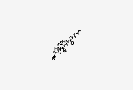 C=CCCOC(=O)NCC(SC)C(=O)NCCC#N